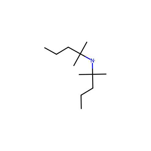 CCCC(C)(C)[N]C(C)(C)CCC